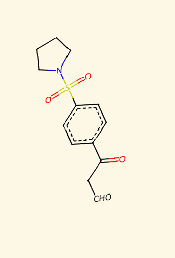 O=CCC(=O)c1ccc(S(=O)(=O)N2CCCC2)cc1